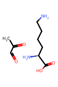 CC(=O)C=O.NCCCC[C@H](N)C(=O)O